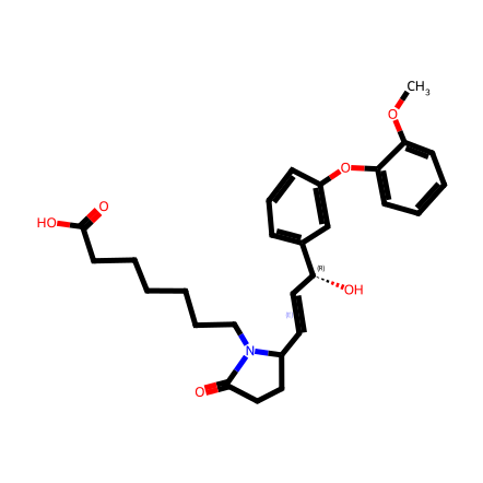 COc1ccccc1Oc1cccc([C@H](O)/C=C/C2CCC(=O)N2CCCCCCC(=O)O)c1